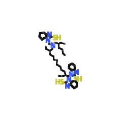 CCCCC(CC)CN(CC(CC)CCCCCCCCC(CC)C(n1c(S)nc2ccccc21)n1c(S)nc2ccccc21)Cn1c(S)nc2ccccc21